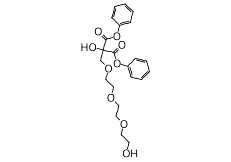 O=C(Oc1ccccc1)C(O)(COCCOCCOCCO)C(=O)Oc1ccccc1